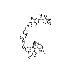 CC(C)(C)n1nc(-c2noc(C3CC3)c2-c2ncc(OC3CN(C(=O)CN4CCC(CN5CCN(c6c(F)cc(NC7CCC(=O)NC7=O)cc6F)CC5)CC4)C3)cn2)c2c(N)ncnc21